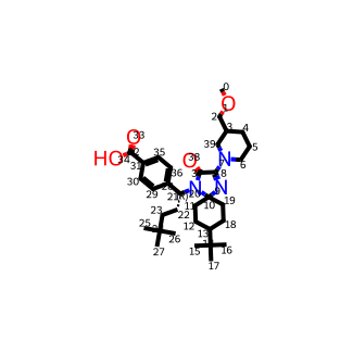 COCC1CCCN(C2=NC3(CCC(C(C)(C)C)CC3)N([C@H](CCC(C)(C)C)c3ccc(C(=O)O)cc3)C2=O)C1